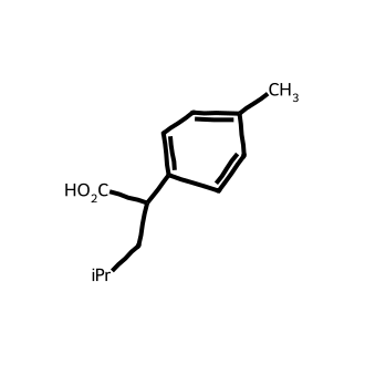 Cc1ccc(C(CC(C)C)C(=O)O)cc1